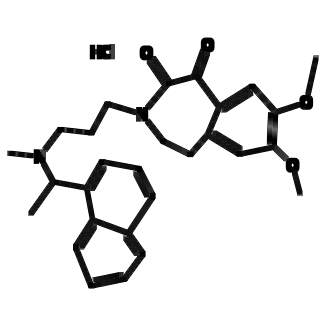 COc1cc2c(cc1OC)C(=O)C(=O)N(CCCN(C)C(C)c1cccc3ccccc13)CC2.Cl